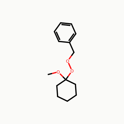 COC1(OOCc2ccccc2)CCCCC1